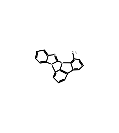 Nc1cccc2c3cccc4c3n(c12)c1nc2ccccc2n41